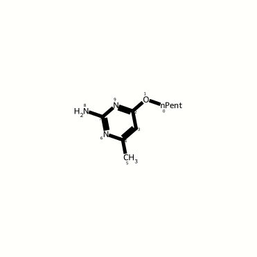 CCCCCOc1cc(C)nc(N)n1